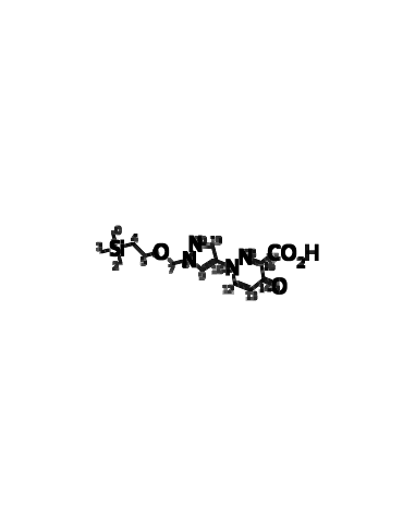 C[Si](C)(C)CCOCn1cc(-n2ccc(=O)c(C(=O)O)n2)cn1